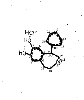 Cl.Oc1cc2c(cc1O)[C@@H](c1ccccc1)CNCC2